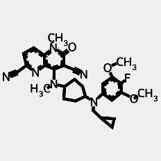 COc1cc(N(CC2CC2)C2CCC(N(C)c3c(C#N)c(=O)n(C)c4ccc(C#N)nc34)CC2)cc(OC)c1F